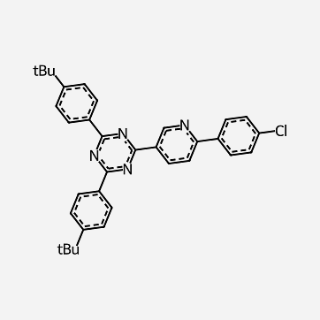 CC(C)(C)c1ccc(-c2nc(-c3ccc(C(C)(C)C)cc3)nc(-c3ccc(-c4ccc(Cl)cc4)nc3)n2)cc1